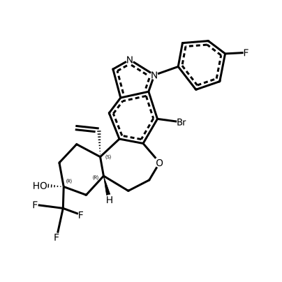 C=C[C@@]12CC[C@](O)(C(F)(F)F)C[C@H]1CCOc1c2cc2cnn(-c3ccc(F)cc3)c2c1Br